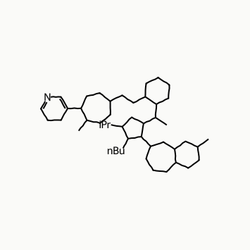 CCCCC1C(C(C)C)CC(C(C)C2CCCCC2CCC2CCC(C)C(C3=CN=CCC3)CC2)C1C1CCCC2CCC(C)CC2C1